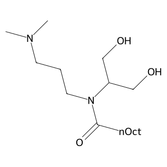 CCCCCCCCC(=O)N(CCCN(C)C)C(CO)CO